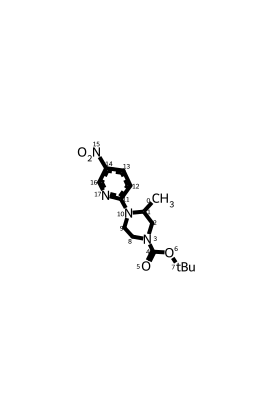 CC1CN(C(=O)OC(C)(C)C)CCN1c1ccc([N+](=O)[O-])cn1